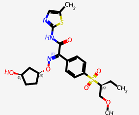 CC[C@@H](COC)S(=O)(=O)c1ccc(/C(=N\O[C@@H]2CC[C@@H](O)C2)C(=O)Nc2ncc(C)s2)cc1